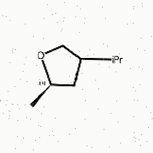 CC(C)C1CO[C@H](C)C1